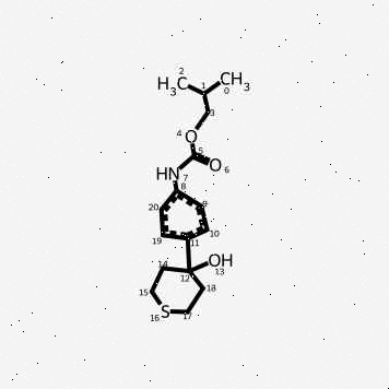 CC(C)COC(=O)Nc1ccc(C2(O)CCSCC2)cc1